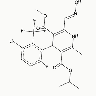 COC(=O)C1=C(C=NO)NC(C)=C(C(=O)OC(C)C)C1c1c(F)ccc(Cl)c1C(F)(F)F